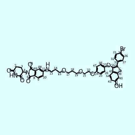 O=C1CCC(N2C(=O)c3ccc(NCCCOCCCOCCOc4ccc(Oc5c(-c6ccc(Br)cc6)sc6cc(O)ccc56)cc4)cc3C2=O)C(=O)N1